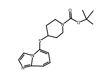 CC(C)(C)OC(=O)N1CCC(Sc2cccc3nccn23)CC1